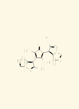 Cc1nn2cn[nH]c2c1C1=C(O)C(c2c(C)nn3cn[nH]c23)=C(O)C1=O